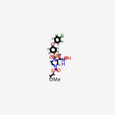 COCCOC(=O)N1CCN(S(=O)(=O)c2ccc(Oc3ccc(F)cc3)cc2)[C@@H](C(=O)NO)C1